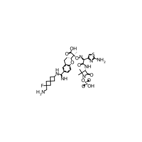 CC1(C)[C@H](NC(=O)/C(=N\O[C@](C)(C(=O)O)[C@H]2CCc3cc(C(=N)NC4CC5(C4)CC(F)(CN)C5)ccc3O2)c2csc(N)n2)C(=O)N1OS(=O)(=O)O